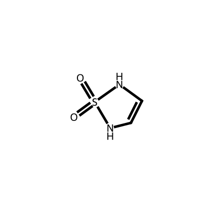 O=S1(=O)NC=CN1